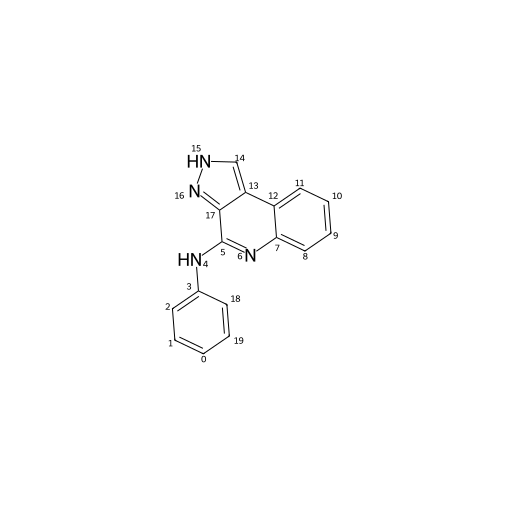 c1ccc(Nc2nc3ccccc3c3c[nH]nc23)cc1